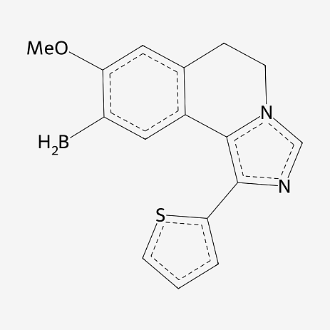 Bc1cc2c(cc1OC)CCn1cnc(-c3cccs3)c1-2